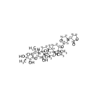 C[C@@H]1CC(C(O)C(C)(C)O)OC2[C@H]1C1(C)CCC34CC35CCC(O[C@H]3CN(C6CCOC6=O)CCO3)C(C)(C)[C@@H]5CCC4[C@]1(C)[C@H]2O